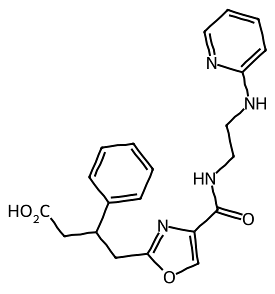 O=C(O)CC(Cc1nc(C(=O)NCCNc2ccccn2)co1)c1ccccc1